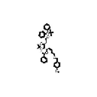 COc1ccc(COCC/C=C\C(OC(=O)c2ccccc2)[C@H]2OC(C)(C)O[C@H]2CCO[Si](c2ccccc2)(c2ccccc2)C(C)(C)C)cc1